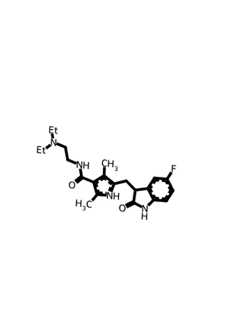 CCN(CC)CCNC(=O)c1c(C)[nH]c(CC2C(=O)Nc3ccc(F)cc32)c1C